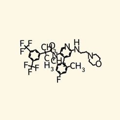 Cc1cc(F)ccc1-c1cc(NCCN2CCOCC2)ncc1N(C)C(=O)C(C)(C)c1cc(C(F)(F)F)cc(C(F)(F)F)c1